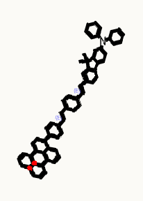 CC1(C)c2cc(/C=C/C3=CC=C(/C=C/c4ccc(-c5ccc(-c6ccccc6)c6c(-c7ccccc7)cccc56)cc4)CC3)ccc2-c2ccc(N(C3=CCCC=C3)C3C=CC=CC3)cc21